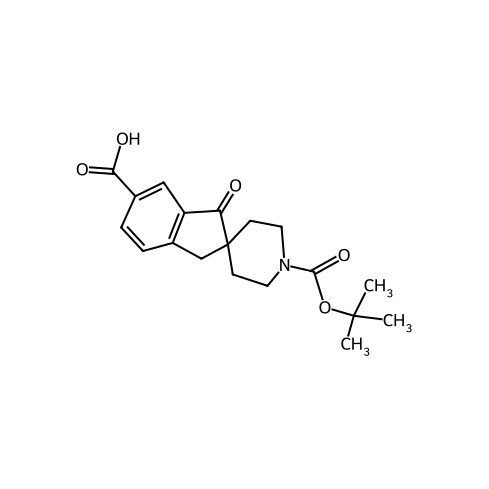 CC(C)(C)OC(=O)N1CCC2(CC1)Cc1ccc(C(=O)O)cc1C2=O